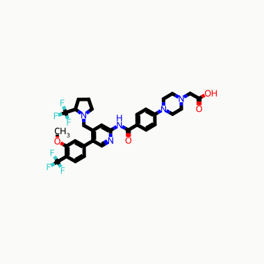 COc1cc(-c2cnc(NC(=O)c3ccc(N4CCN(CC(=O)O)CC4)cc3)cc2CN2CCCC2C(F)(F)F)ccc1C(F)(F)F